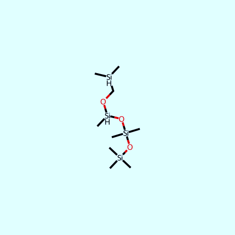 C[SiH](C)CO[SiH](C)O[Si](C)(C)O[Si](C)(C)C